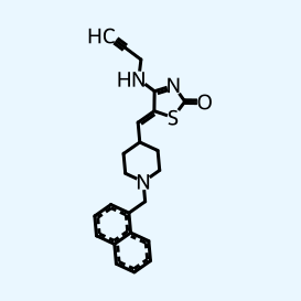 C#CCNC1=NC(=O)S/C1=C\C1CCN(Cc2cccc3ccccc23)CC1